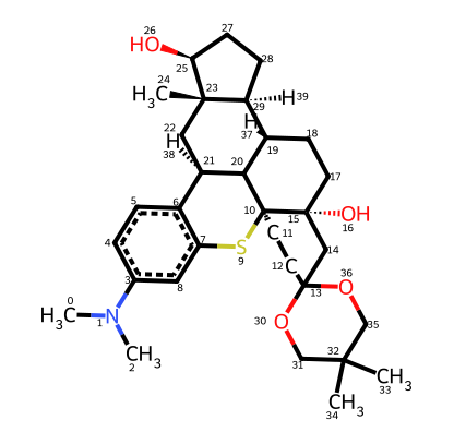 CN(C)c1ccc2c(c1)S[C@]13CCC4(C[C@]1(O)CC[C@@H]1C3[C@@H]2C[C@]2(C)[C@@H](O)CC[C@@H]12)OCC(C)(C)CO4